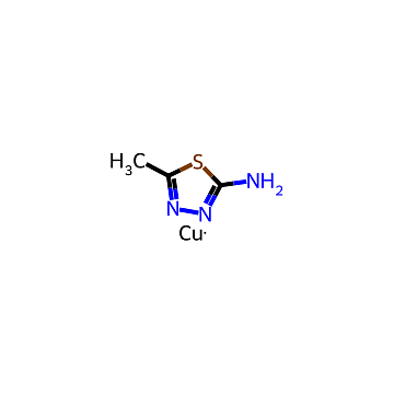 Cc1nnc(N)s1.[Cu]